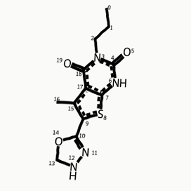 CCCn1c(=O)[nH]c2sc(C3=NNCO3)c(C)c2c1=O